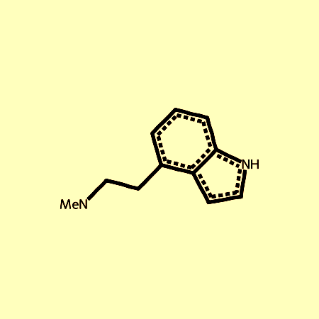 CNCCc1cccc2[nH]ccc12